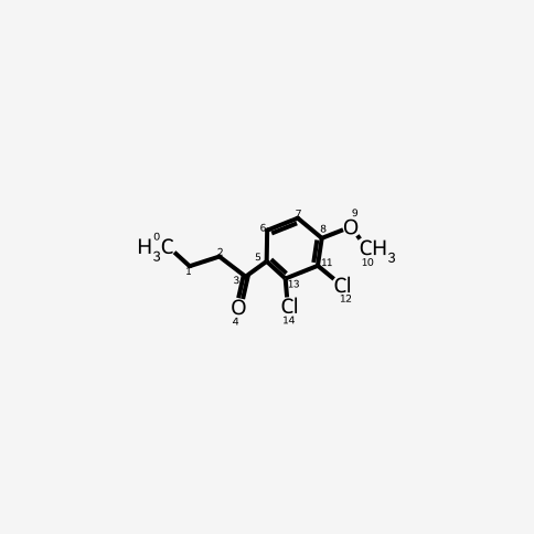 CCCC(=O)c1ccc(OC)c(Cl)c1Cl